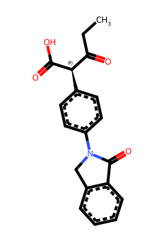 CCC(=O)[C@H](C(=O)O)c1ccc(N2Cc3ccccc3C2=O)cc1